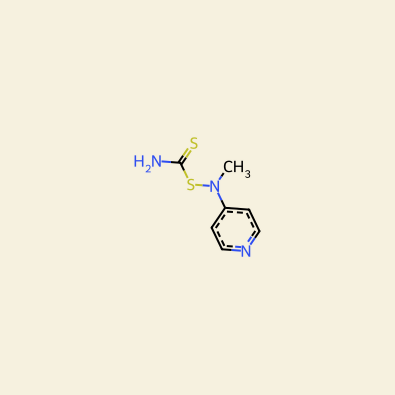 CN(SC(N)=S)c1ccncc1